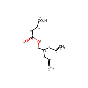 C=CCC(CC=C)COC(=O)CCC(=O)O